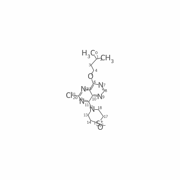 CC(C)CCOc1ncnc2c(N3CC[S+]([O-])CC3)nc(Cl)nc12